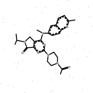 CC(=O)N1CCN(c2nc3c(c(N(C)c4ccc5nc(C)ccc5c4)n2)CN(C(C)C)C3=O)CC1